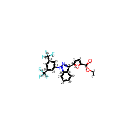 CCOC(=O)c1ccc(-c2nn(-c3cc(C(F)(F)F)cc(C(F)(F)F)c3)c3ccccc23)o1